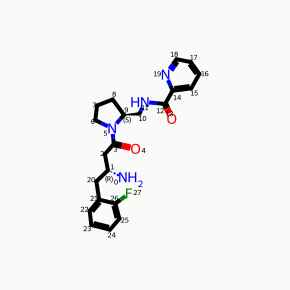 N[C@@H](CC(=O)N1CCC[C@H]1CNC(=O)c1ccccn1)Cc1ccccc1F